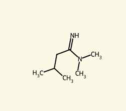 CC(C)CC(=N)N(C)C